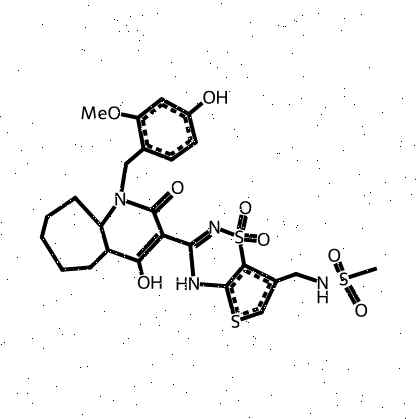 COc1cc(O)ccc1CN1C(=O)C(C2=NS(=O)(=O)c3c(CNS(C)(=O)=O)csc3N2)=C(O)C2CCCCCC21